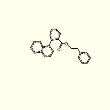 O=C(OCCc1ccccc1)c1ccccc1-c1cccc2ccccc12